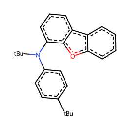 CC(C)(C)c1ccc(N(c2cccc3c2oc2ccccc23)C(C)(C)C)cc1